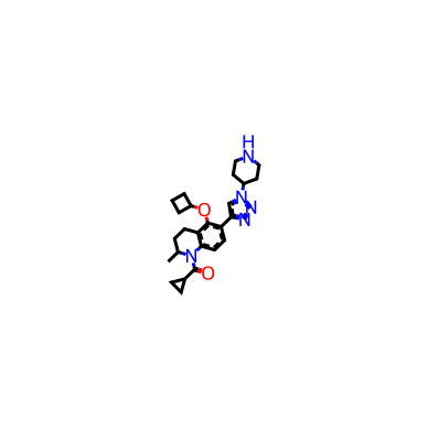 CC1CCc2c(ccc(-c3cn(C4CCNCC4)nn3)c2OC2CCC2)N1C(=O)C1CC1